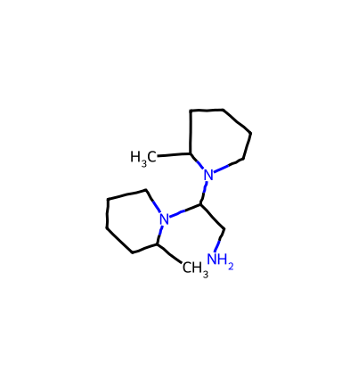 CC1CCCCN1C(CN)N1CCCCC1C